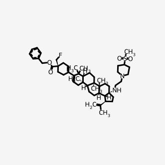 C=C(C)[C@@H]1CC[C@]2(NCCN3CCC(S(C)(=O)=O)CC3)CC[C@]3(C)[C@H](CC[C@@H]4[C@@]5(C)CC=C(C6=CC[C@@](CF)(C(=O)OCc7ccccc7)CC6)C(C)(C)[C@@H]5CC[C@]43C)[C@@H]12